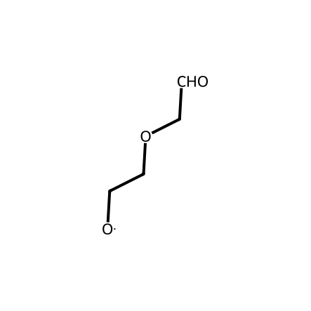 [O]CCOCC=O